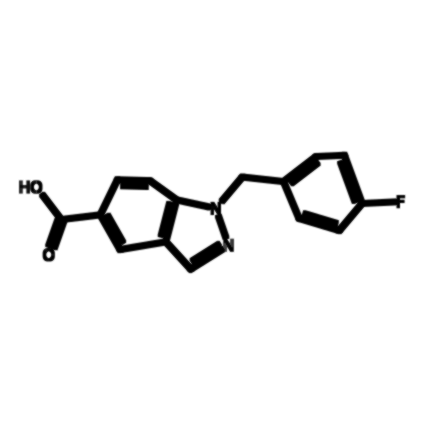 O=C(O)c1ccc2c(cnn2Cc2ccc(F)cc2)c1